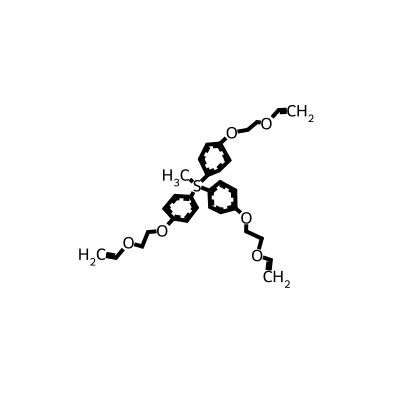 C=COCCOc1ccc(S(C)(c2ccc(OCCOC=C)cc2)c2ccc(OCCOC=C)cc2)cc1